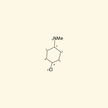 CNC1CCC(Cl)CC1